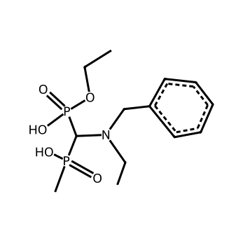 CCOP(=O)(O)C(N(CC)Cc1ccccc1)P(C)(=O)O